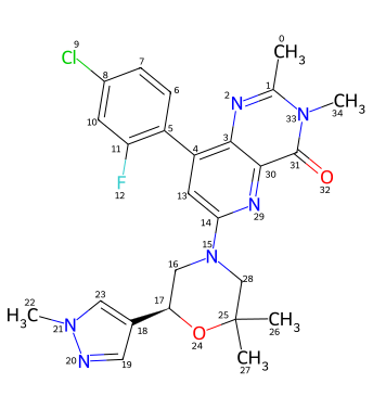 Cc1nc2c(-c3ccc(Cl)cc3F)cc(N3C[C@H](c4cnn(C)c4)OC(C)(C)C3)nc2c(=O)n1C